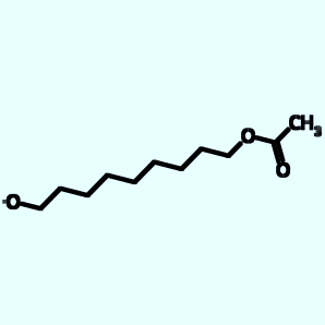 CC(=O)OCCCCCCCCC[O]